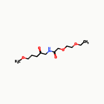 CCOCCOCC(=O)NCC(=O)CCCOC